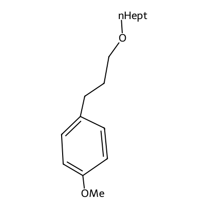 [CH2]CCCCCCOCCCc1ccc(OC)cc1